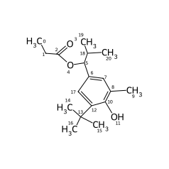 CCC(=O)OC(c1cc(C)c(O)c(C(C)(C)C)c1)C(C)C